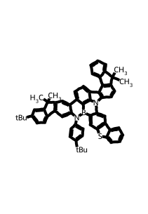 CC(C)(C)c1ccc(N2B3c4cc5sc6ccccc6c5cc4-n4c5ccc6c(c5c5ccc(c3c54)-c3cc4c(cc32)-c2ccc(C(C)(C)C)cc2C4(C)C)-c2ccccc2C6(C)C)cc1